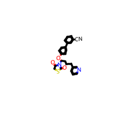 N#Cc1cccc(-c2ccc(OC(CCCc3cccnc3)N3C(=O)CSC3=O)cc2)c1